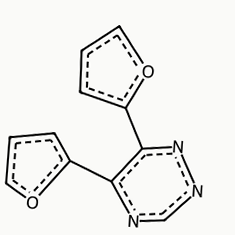 c1coc(-c2ncnnc2-c2ccco2)c1